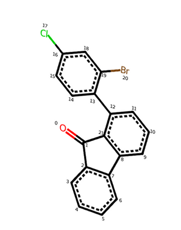 O=C1c2ccccc2-c2cccc(-c3ccc(Cl)cc3Br)c21